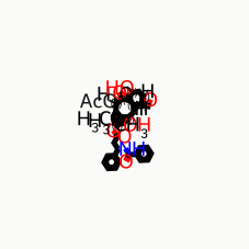 CC(=O)O[C@H]1C(=O)[C@@]2(C)[C@H](C[C@]3(O)C[C@H](OC(=O)CC(NC(=O)c4ccccc4)c4ccccc4)C(C)C1C3(C)C)[C@@H]1CO[C@@H]1C[C@@H]2O